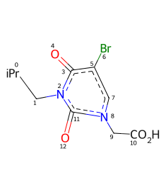 CC(C)Cn1c(=O)c(Br)cn(CC(=O)O)c1=O